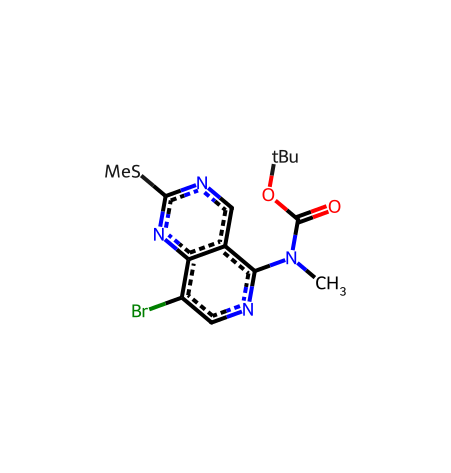 CSc1ncc2c(N(C)C(=O)OC(C)(C)C)ncc(Br)c2n1